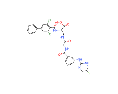 O=C(CNC(=O)c1cccc(NC2=NCC(F)CN2)c1)NCC(NC(=O)c1c(Cl)cc(-c2ccccc2)cc1Cl)C(=O)O